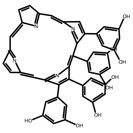 Oc1cc(O)cc(C2=CC3=CC4=NC(=CC5=NC(=CC6=NC(=C(c7cc(O)cc(O)c7)C2=N3)C(c2cc(O)cc(O)c2)=C6c2cc(O)cc(O)c2)C=C5)C=C4)c1